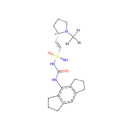 [2H]C([2H])([2H])N1CCC[C@H]1/C=C/S(=N)(=O)NC(=O)Nc1c2c(cc3c1CCC3)CCC2